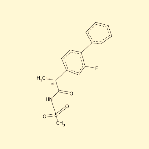 C[C@@H](C(=O)NS(C)(=O)=O)c1ccc(-c2ccccc2)c(F)c1